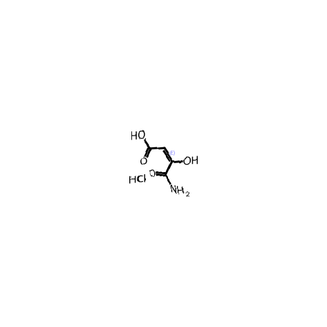 Cl.NC(=O)/C(O)=C\C(=O)O